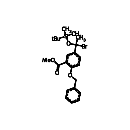 COC(=O)c1cc(C(C)(Br)O[Si](C)(C)C(C)(C)C)ccc1OCc1ccccc1